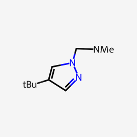 CNCn1cc(C(C)(C)C)cn1